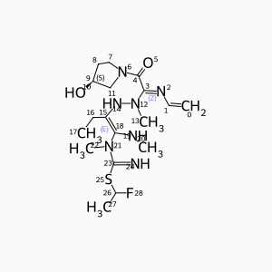 C=C/N=C(/C(=O)N1CC[C@H](O)C1)N(C)N/C(CC)=C(\NC)N(C)C(=N)SC(C)F